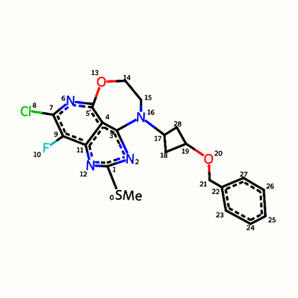 CSc1nc2c3c(nc(Cl)c(F)c3n1)OCCN2C1CC(OCc2ccccc2)C1